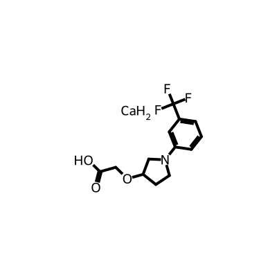 O=C(O)COC1CCN(c2cccc(C(F)(F)F)c2)C1.[CaH2]